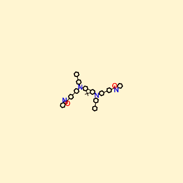 CC1(C)c2cc(N(c3ccc(-c4ccccc4)cc3)c3ccc(-c4ccc(-c5nc6ccccc6o5)cc4)cc3)ccc2-c2ccc(N(c3ccc(-c4ccccc4)cc3)c3ccc(-c4ccc(-c5nc6ccccc6o5)cc4)cc3)cc21